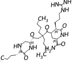 CCCC[C@@H]1NC[C@H](C(=O)CC(CCCC)(CCCC)C(=O)C2C[C@H](C(N)=O)NC(=O)[C@@H]2CCCNC(=N)N)NC1=O